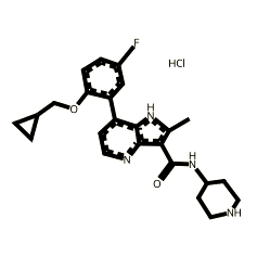 Cc1[nH]c2c(-c3cc(F)ccc3OCC3CC3)ccnc2c1C(=O)NC1CCNCC1.Cl